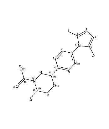 Cc1ccc(C)n1-c1ccc([C@H]2CN(C(=O)O)[C@@H](C)CO2)cn1